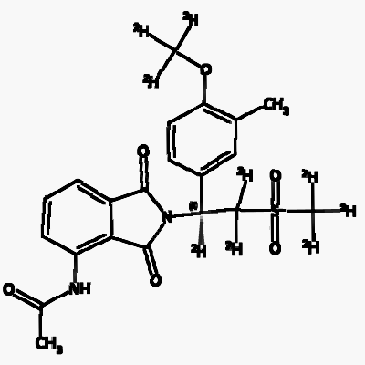 [2H]C([2H])([2H])Oc1ccc([C@]([2H])(N2C(=O)c3cccc(NC(C)=O)c3C2=O)C([2H])([2H])S(=O)(=O)C([2H])([2H])[2H])cc1C